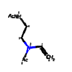 C=CN(CCNC(C)=O)C(C)=O